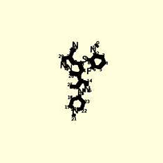 C=Nc1cccc(F)c1Sc1cc(-c2cnn(C3CCN(C)CC3)c2C)cn2ncc(C#N)c12